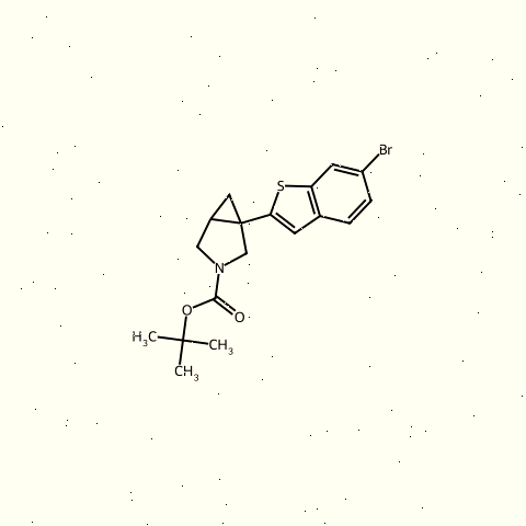 CC(C)(C)OC(=O)N1CC2CC2(c2cc3ccc(Br)cc3s2)C1